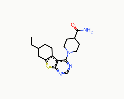 CCC1CCc2c(sc3ncnc(N4CCC(C(N)=O)CC4)c23)C1